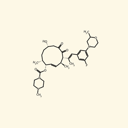 C/C(=C\c1cc(F)cc(N2CCOC(C)C2)c1)[C@H]1C(=O)C(=O)C[C@@H](O)CC[C@@H](C)[C@@H](OC(=O)N2CCN(C)CC2)/C=C/[C@@H]1C